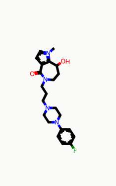 Cn1ccc2c1C(O)CCN(CCCN1CCN(c3ccc(F)cc3)CC1)C2=O